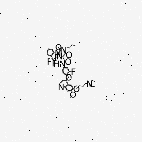 CCCCn1c(=O)c(C(=O)Nc2ccc(Oc3ccnc4cc(OC)c(OCCCN5CCCC5)cc34)c(F)c2)nn(-c2ccccc2C(F)(F)F)c1=O